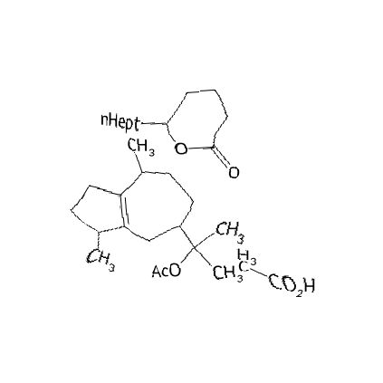 CC(=O)O.CC(=O)OC(C)(C)C1CCC(C)C2=C(C1)C(C)CC2.CCCCCCCC1CCCC(=O)O1